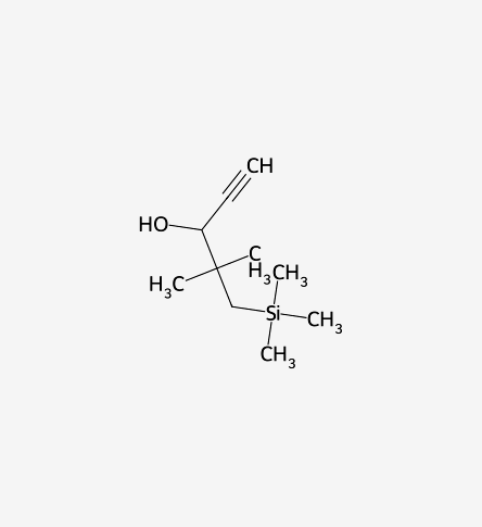 C#CC(O)C(C)(C)C[Si](C)(C)C